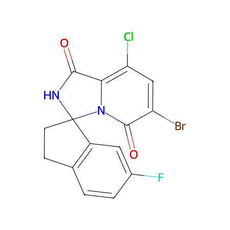 O=C1NC2(CCc3ccc(F)cc32)n2c1c(Cl)cc(Br)c2=O